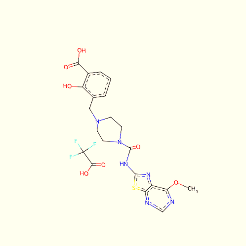 COc1ncnc2sc(NC(=O)N3CCN(Cc4cccc(C(=O)O)c4O)CC3)nc12.O=C(O)C(F)(F)F